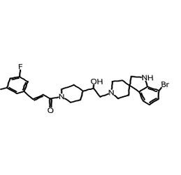 O=C(/C=C/c1cc(F)cc(F)c1)N1CCC(C(O)CN2CCC3(CC2)CNc2c(Br)cccc23)CC1